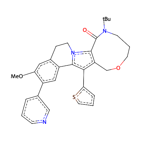 COc1cc2c(cc1-c1cccnc1)-c1c(-c3cccs3)c3c(n1CC2)C(=O)N(C(C)(C)C)CCCOC3